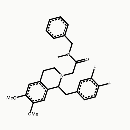 COc1cc2c(cc1OC)C(Cc1ccc(F)c(F)c1)N(CC(=O)N(C)Cc1ccccc1)CC2